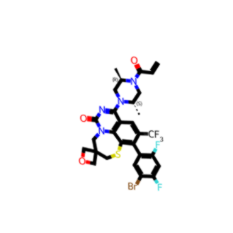 C=CC(=O)N1C[C@H](C)N(c2nc(=O)n3c4c(c(-c5cc(Br)c(F)cc5F)c(C(F)(F)F)cc24)SCC2(COC2)C3)C[C@H]1C